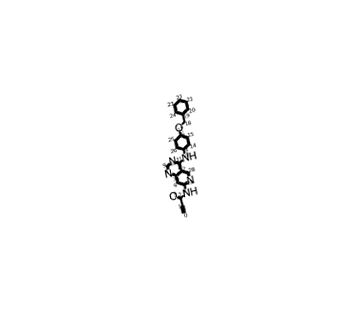 C#CC(=O)Nc1cc2ncnc(Nc3ccc(OCc4ccccc4)cc3)c2cn1